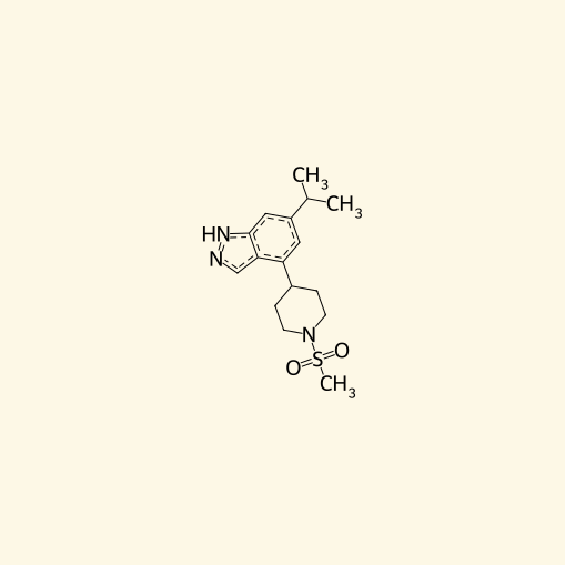 CC(C)c1cc(C2CCN(S(C)(=O)=O)CC2)c2cn[nH]c2c1